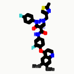 COc1cc2nccc(Oc3ccc(NC(=O)/C(=C/NCc4csc(C)n4)C(=O)Nc4ccc(F)cc4)cc3F)c2cc1OC